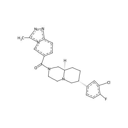 Cc1nnc2ccc(C(=O)N3CCN4C[C@@H](c5ccc(F)c(Cl)c5)CC[C@@H]4C3)cn12